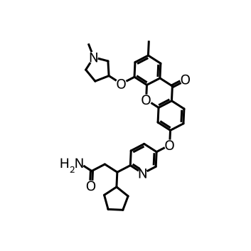 Cc1cc(OC2CCN(C)C2)c2oc3cc(Oc4ccc(C(CC(N)=O)C5CCCC5)nc4)ccc3c(=O)c2c1